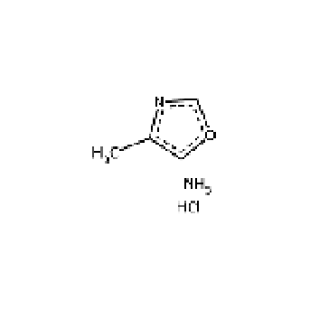 Cc1cocn1.Cl.N